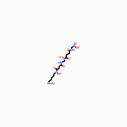 CC(=O)NCCCCCN(O)C(=O)CCC(=O)NCN(O)C(=O)CCC(=O)NCN(O)C(C)=O